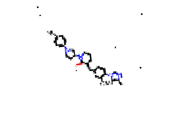 COc1cc(/C=C2\CCCN([C@H]3CCN(c4ccc(C#N)cc4)C3)C2=O)ccc1-n1cnc(C)c1